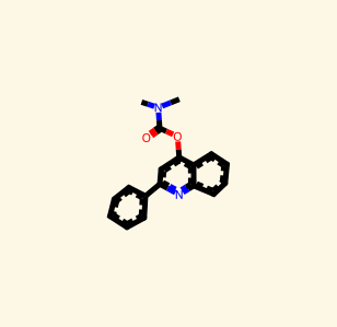 CN(C)C(=O)Oc1cc(-c2ccccc2)nc2ccccc12